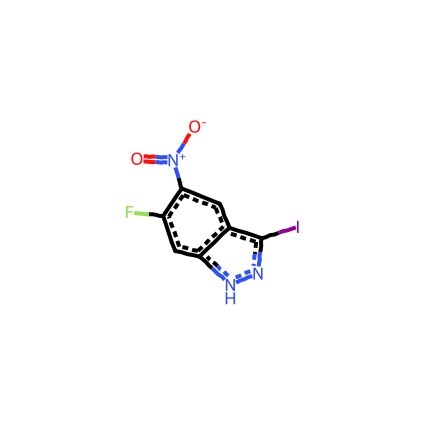 O=[N+]([O-])c1cc2c(I)n[nH]c2cc1F